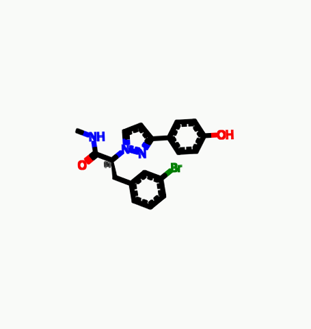 CNC(=O)[C@H](Cc1cccc(Br)c1)n1ccc(-c2ccc(O)cc2)n1